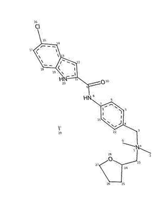 C[N+](C)(Cc1ccc(NC(=O)c2cc3cc(Cl)ccc3[nH]2)cc1)CC1CCCO1.[I-]